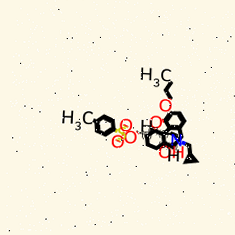 CCCCOc1ccc2c3c1O[C@H]1[C@@H](COS(=O)(=O)c4ccc(C)cc4)CC[C@@]4(O)[C@@H](C2)N(CC2CC2)CC[C@]314